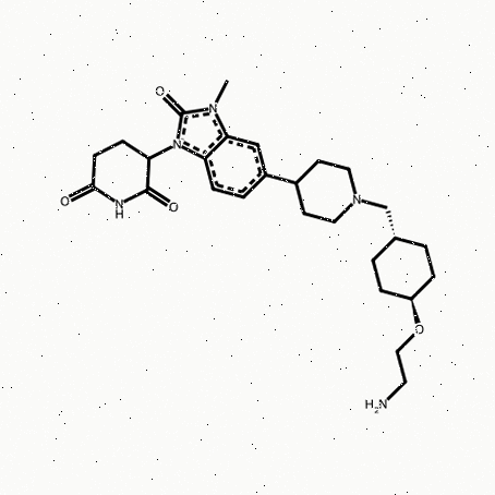 Cn1c(=O)n(C2CCC(=O)NC2=O)c2ccc(C3CCN(C[C@H]4CC[C@H](OCCN)CC4)CC3)cc21